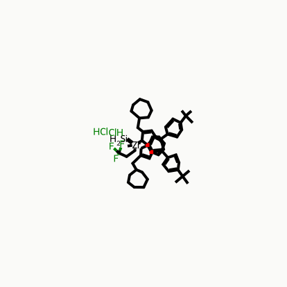 CC(C)(C)c1ccc(-c2cccc3c2C=C(CC2CCCCCC2)[CH]3[Zr]([CH3])(=[SiH2])([CH2]CC(F)(F)F)[CH]2C(CC3CCCCCC3)=Cc3c(-c4ccc(C(C)(C)C)cc4)cccc32)cc1.Cl.Cl